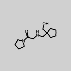 O=C(CNCC1(CO)CCCC1)N1CCCC1